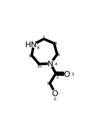 [O]CC(=O)N1CCCNCC1